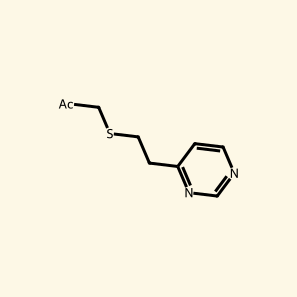 CC(=O)CSCCc1ccncn1